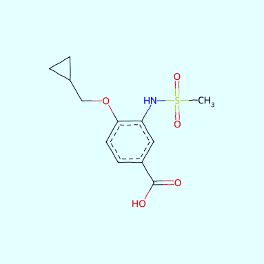 CS(=O)(=O)Nc1cc(C(=O)O)ccc1OCC1CC1